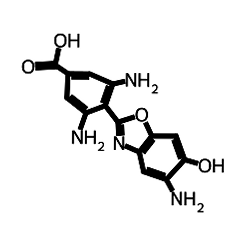 Nc1cc2nc(-c3c(N)cc(C(=O)O)cc3N)oc2cc1O